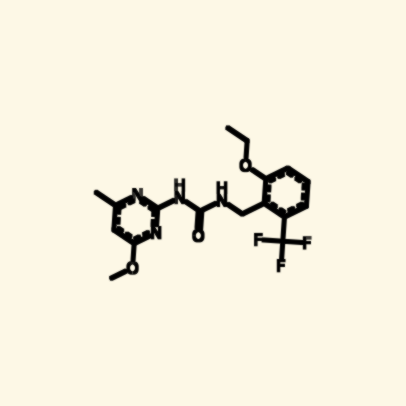 CCOc1cccc(C(F)(F)F)c1CNC(=O)Nc1nc(C)cc(OC)n1